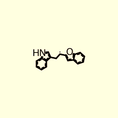 [CH](Cc1c[nH]c2ccccc12)c1cc2ccccc2o1